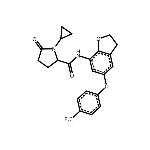 O=C(Nc1cc(Oc2ccc(C(F)(F)F)cc2)cc2c1OCC2)C1CCC(=O)N1C1CC1